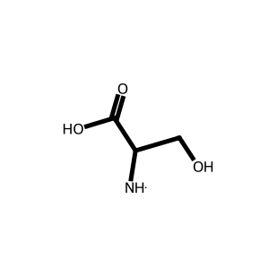 [NH]C(CO)C(=O)O